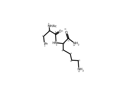 CC(=O)NC(CC(C)C)C(=O)NC(CCCCN)C(N)=O